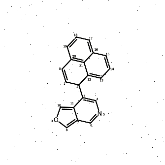 C1=CC(c2cncc3cocc23)c2cccc3cccc1c23